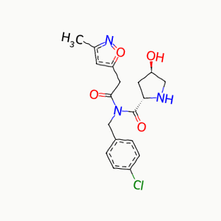 Cc1cc(CC(=O)N(Cc2ccc(Cl)cc2)C(=O)[C@@H]2C[C@@H](O)CN2)on1